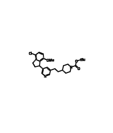 COc1ccc(Cl)c2c1C(c1cncc(CCC3CCN(C(=O)OC(C)(C)C)CC3)c1)CC2